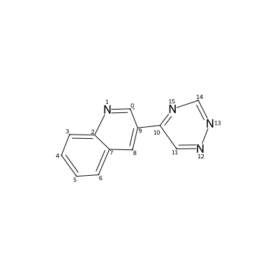 [c]1nc2ccccc2cc1-c1cnncn1